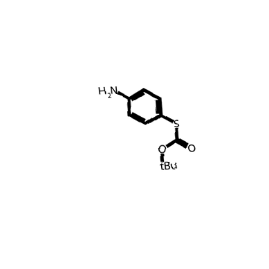 CC(C)(C)OC(=O)Sc1ccc(N)cc1